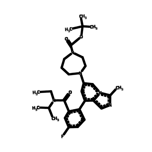 CCN(C(=O)c1cc(F)ccc1-c1cc(N2CCCN(C(=O)OC(C)(C)C)CC2)cn2c(C)ncc12)C(C)C